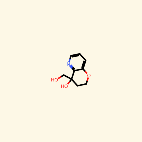 OCC1(O)CCOc2cccnc21